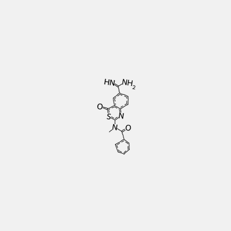 CN(C(=O)c1ccccc1)c1nc2ccc(C(=N)N)cc2c(=O)s1